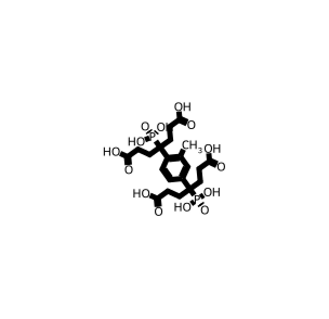 Cc1cc(C(CCC(=O)O)(CCC(=O)O)P(=O)(O)O)ccc1C(CCC(=O)O)(CCC(=O)O)P(=O)(O)O